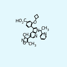 Cc1noc(C)c1-c1cnc2c(c1)c(-c1ccc(C(=O)O)cc1OC1CCC1)cn2C(C)c1ccccn1